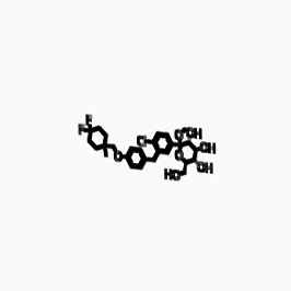 COC1(c2ccc(Cl)c(Cc3ccc(OCC4(C)CCC(F)(F)CC4)cc3)c2)O[C@H](CO)[C@@H](O)[C@H](O)[C@H]1O